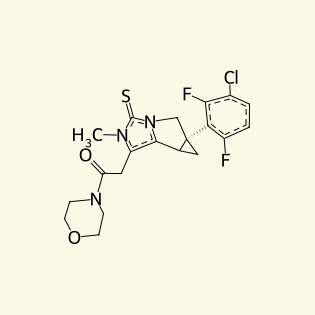 Cn1c(CC(=O)N2CCOCC2)c2n(c1=S)C[C@@]1(c3c(F)ccc(Cl)c3F)CC21